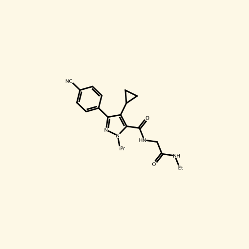 CCNC(=O)CNC(=O)c1c(C2CC2)c(-c2ccc(C#N)cc2)nn1C(C)C